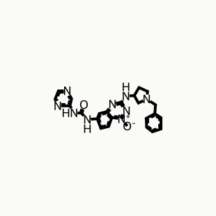 O=C(Nc1ccc2c(c1)nc(NC1CCN(Cc3ccccc3)C1)n[n+]2[O-])Nc1cnccn1